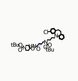 CC(C)(C)OC(=O)N(C/C=C/C(=O)NOC1CCN(C(=O)OC(C)(C)C)CC1)CCCCN1c2ccccc2CCc2ccc(Cl)cc21